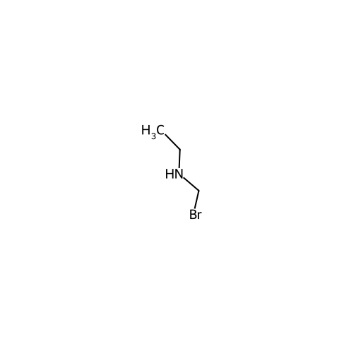 CCNCBr